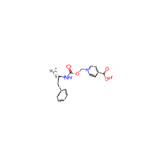 C[C@@H](Cc1ccccc1)NC(=O)OC[n+]1ccc(C(=O)O)cc1